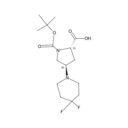 CC(C)(C)OC(=O)N1C[C@H](N2CCC(F)(F)CC2)C[C@H]1C(=O)O